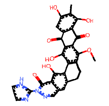 COc1c2c(c(O)c3c1C(=O)c1c(cc(O)c(C)c1O)C3=O)-c1c(cc3cnn(-c4ncc[nH]4)c(=O)c3c1O)CC2